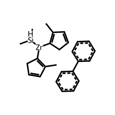 CC1=[C]([Zr]([C]2=C(C)C=CC2)[SiH](C)C)CC=C1.c1ccc(-c2ccccc2)cc1